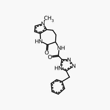 Cn1ccc2c1CCC(NC(=O)c1nnc(Cc3ccccc3)[nH]1)C(=O)N2